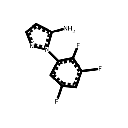 Nc1ccnn1-c1cc(F)cc(F)c1F